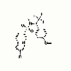 COc1ccc([C@@H](N(C)S(=O)(=O)c2ccc3nc(Cl)cn3c2)C(F)(F)F)cc1